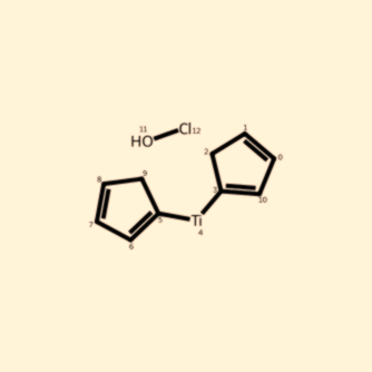 C1=CC[C]([Ti][C]2=CC=CC2)=C1.OCl